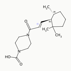 C[C@@H]1CCCC(C)(C)[C@H]1/C=C/C(=O)N1CCN(C(=O)O)CC1